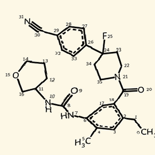 CCc1cc(C)c(NC(=O)NC2CCCOC2)cc1C(=O)N1CCC(F)(c2ccc(C#N)cc2)CC1